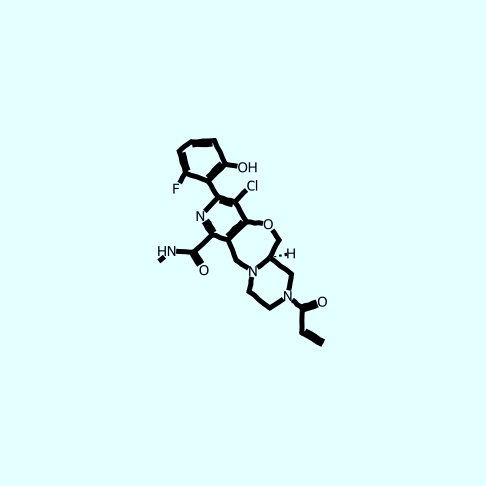 C=CC(=O)N1CCN2Cc3c(C(=O)NC)nc(-c4c(O)cccc4F)c(Cl)c3OC[C@H]2C1